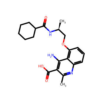 Cc1nc2cccc(OC[C@H](C)NC(=O)C3CCCCC3)c2c(N)c1C(=O)O